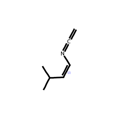 C=C=N/C=C\C(C)C